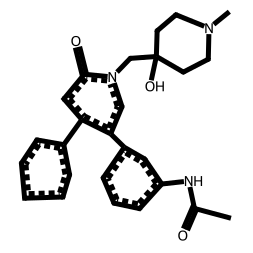 CC(=O)Nc1cccc(-c2cn(CC3(O)CCN(C)CC3)c(=O)cc2-c2ccccc2)c1